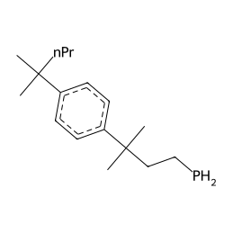 CCCC(C)(C)c1ccc(C(C)(C)CCP)cc1